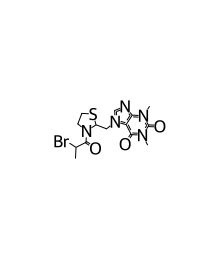 CC(Br)C(=O)N1CCSC1Cn1cnc2c1c(=O)n(C)c(=O)n2C